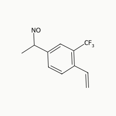 C=Cc1ccc(C(C)N=O)cc1C(F)(F)F